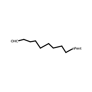 CCCCCCCCCCCCC[C]=O